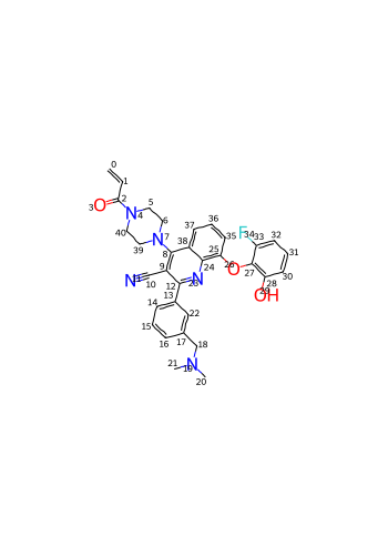 C=CC(=O)N1CCN(c2c(C#N)c(-c3cccc(CN(C)C)c3)nc3c(Oc4c(O)cccc4F)cccc23)CC1